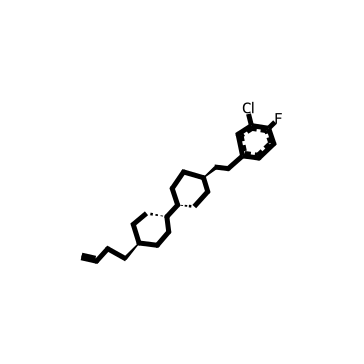 C=CCC[C@H]1CC[C@H]([C@H]2CC[C@H](CCc3ccc(F)c(Cl)c3)CC2)CC1